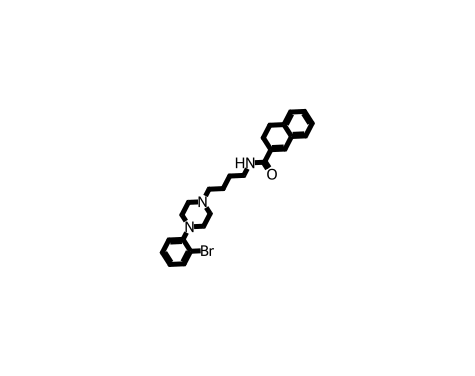 O=C(NCCCCN1CCN(c2ccccc2Br)CC1)C1=Cc2ccccc2CC1